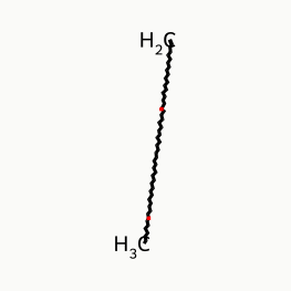 C=CCCCCCCCCCCCCCCCCCCCCCCCCCCCCCCCCCCCCCCCCCCCCCCCCCCCCC